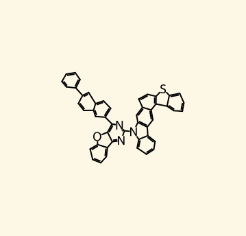 c1ccc(-c2ccc3cc(-c4nc(-n5c6ccccc6c6cc7c(ccc8sc9ccccc9c87)cc65)nc5c4oc4ccccc45)ccc3c2)cc1